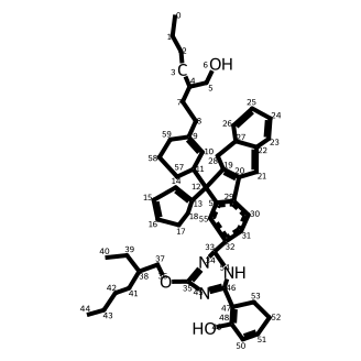 CCCCC(CO)CCC1=CC(C2(C3=CC=CCC3)C3=C(C=C4C=CC=CC4C3)c3ccc(C4N=C(OCC(CC)CCCC)N=C(C5=C(O)C=CCC5)N4)cc32)CCC1